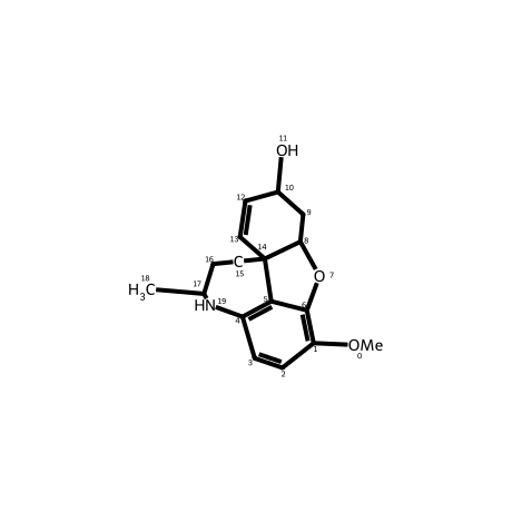 COc1ccc2c3c1OC1CC(O)C=CC31CCC(C)N2